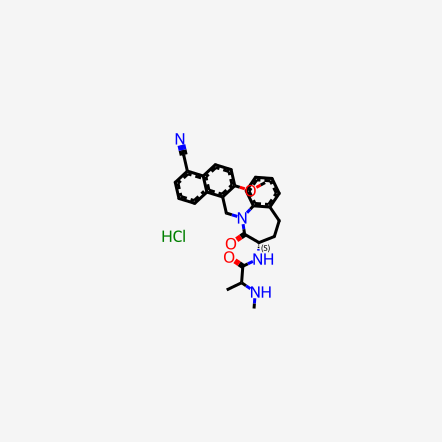 CNC(C)C(=O)N[C@H]1CCc2ccccc2N(Cc2c(OC)ccc3c(C#N)cccc23)C1=O.Cl